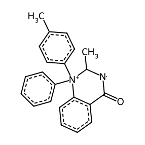 Cc1ccc([N+]2(c3ccccc3)c3ccccc3C(=O)[N]C2C)cc1